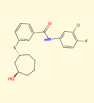 O=C(Nc1ccc(F)c(Cl)c1)c1cccc(S[C@@H]2CCCC[C@@H](O)C2)c1